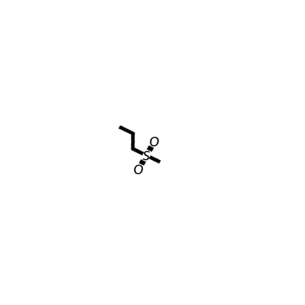 CCCS(C)(=O)=O